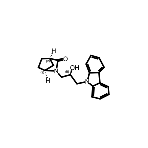 O=C1[C@@H]2CC[C@@H](C2)N1C[C@@H](O)Cn1c2ccccc2c2ccccc21